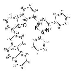 c1ccc(-c2nc(-c3ccccc3)nc(-c3cccc4c3oc3c(-c5ccc6c(ccc7ccccc76)c5)cccc34)n2)cc1